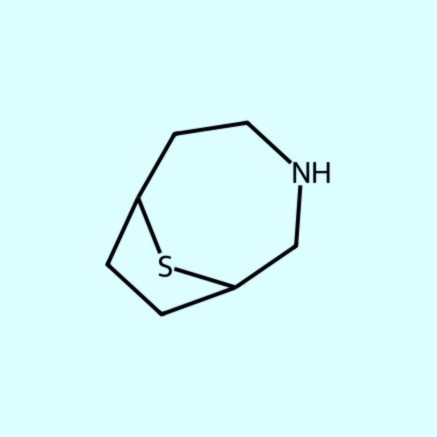 C1CC2CCC(CN1)S2